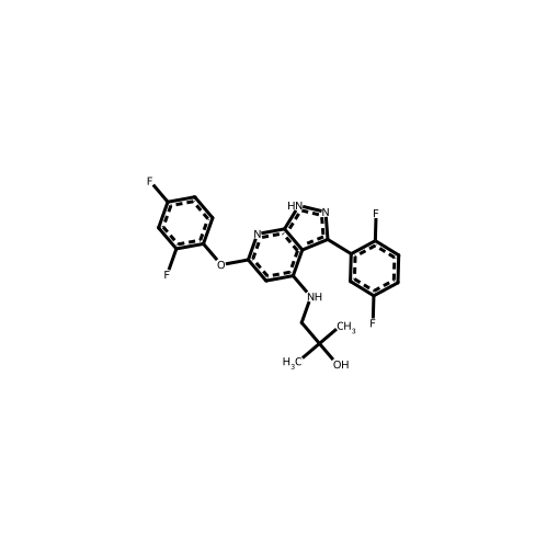 CC(C)(O)CNc1cc(Oc2ccc(F)cc2F)nc2[nH]nc(-c3cc(F)ccc3F)c12